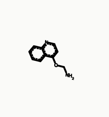 NCOc1ccnc2ccccc12